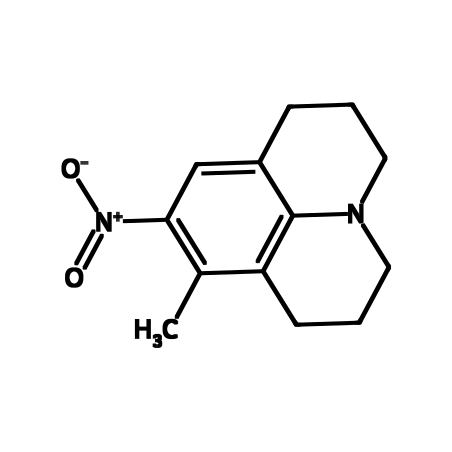 Cc1c([N+](=O)[O-])cc2c3c1CCCN3CCC2